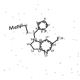 CNCC[C@H](c1cccs1)N1CCc2ncc(F)cc21